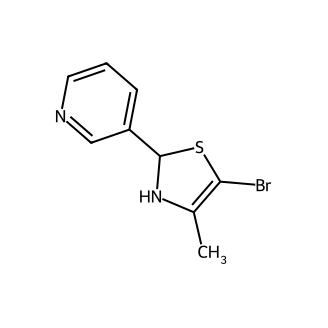 CC1=C(Br)SC(c2cccnc2)N1